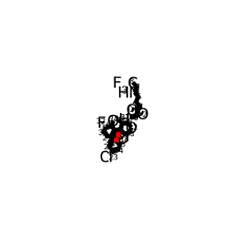 O=S(=O)(CCCNCC(F)(F)F)CC[C@@H]1OCC[C@@]2(S(=O)(=O)c3ccc(Cl)cc3)c3c(F)ccc(F)c3OC[C@@H]12